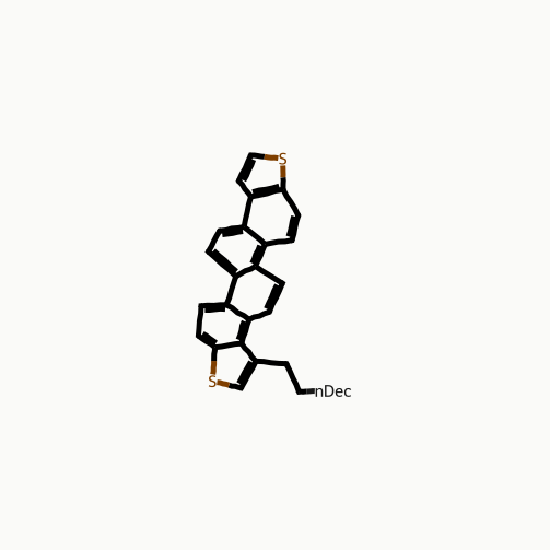 CCCCCCCCCCCCc1csc2ccc3c4ccc5c6ccsc6ccc5c4ccc3c12